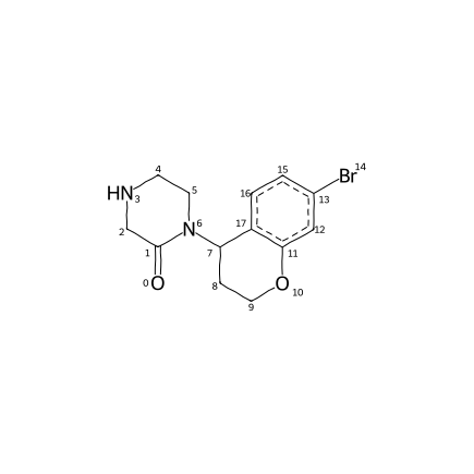 O=C1CNCCN1C1CCOc2cc(Br)ccc21